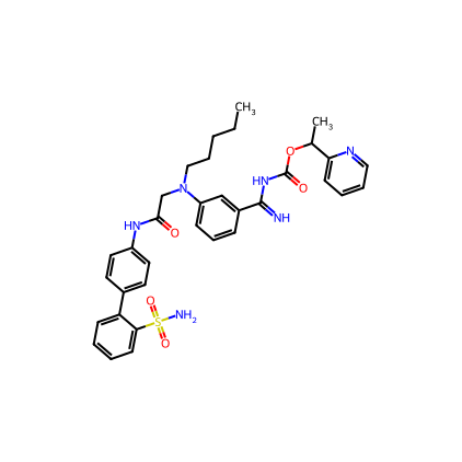 CCCCCN(CC(=O)Nc1ccc(-c2ccccc2S(N)(=O)=O)cc1)c1cccc(C(=N)NC(=O)OC(C)c2ccccn2)c1